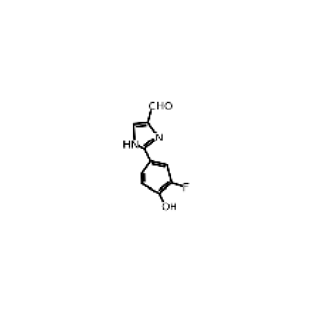 O=Cc1c[nH]c(-c2ccc(O)c(F)c2)n1